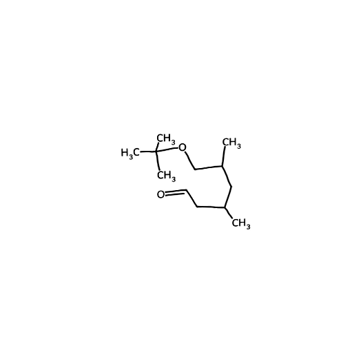 CC(CC=O)CC(C)COC(C)(C)C